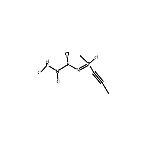 CC#CP(C)(Cl)=NP(Cl)N(Cl)PCl